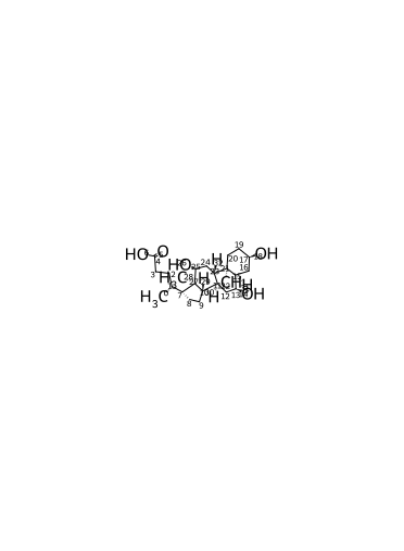 C[C@H](CCC(=O)O)[C@H]1CC[C@H]2[C@@H]3C[C@H](O)[C@@H]4C[C@H](O)CC[C@]4(C)[C@H]3C[C@H](O)[C@]12C